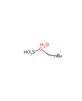 CCCCCOS(=O)(=O)O.O